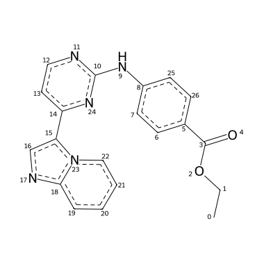 CCOC(=O)c1ccc(Nc2nccc(-c3cnc4ccccn34)n2)cc1